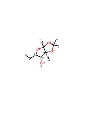 CC[C@H]1O[C@@H]2OC(C)(C)O[C@H]2C1O